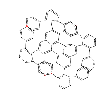 c1ccc(-c2cccc(-c3ccccc3)c2-c2cc3cc(-c4c(-c5ccccc5)cccc4-c4ccccc4)cc4c5cc(-c6c(-c7ccccc7)cccc6-c6ccccc6)cc6cc(-c7c(-c8ccccc8)cccc7-c7ccccc7)cc(c(c2)c34)c65)cc1